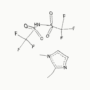 Cc1nccn1C.O=S(=O)(NS(=O)(=O)C(F)(F)F)C(F)(F)F